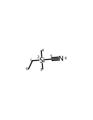 CC[Si](C)(C)C#N